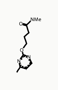 CNC(=O)CCCOc1nc[c]c(C)n1